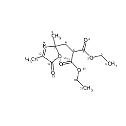 CCOC(=O)C(CC1(C)N=C(C)C(=O)O1)C(=O)OCC